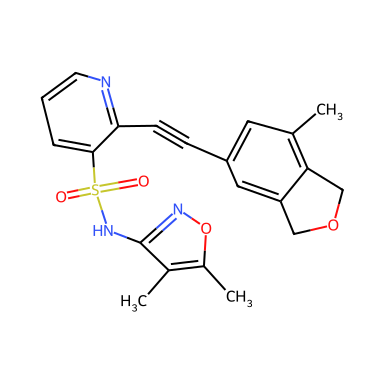 Cc1cc(C#Cc2ncccc2S(=O)(=O)Nc2noc(C)c2C)cc2c1COC2